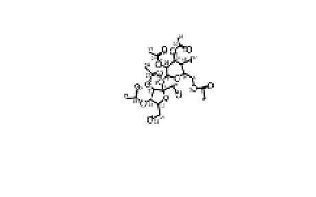 CC(=O)OCC1OC(OC2(CCl)OC(CCl)C(OC(C)=O)C2OC(C)=O)C(OC(C)=O)C(OC(C)=O)C1I